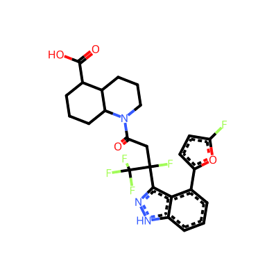 O=C(O)C1CCCC2C1CCCN2C(=O)CC(F)(c1n[nH]c2cccc(-c3ccc(F)o3)c12)C(F)(F)F